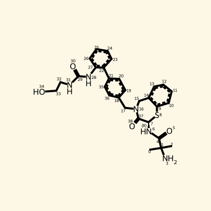 CC(C)(N)C(=O)N[C@@H]1Sc2ccccc2CN(Cc2ccc(-c3ccccc3NC(=O)NCCO)cc2)C1=O